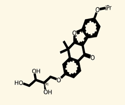 CC(C)Oc1ccc2c3c(oc2c1)C(C)(C)c1cc(OC[C@@H](O)C(O)CO)ccc1C3=O